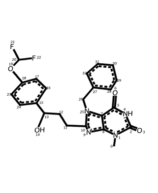 Cn1c(=O)[nH]c(=O)c2c1nc(CCC(O)c1ccc(OC(F)F)cc1)n2Cc1ccccc1